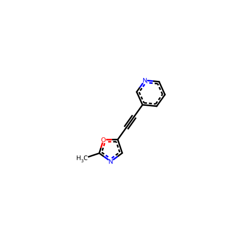 Cc1ncc(C#Cc2cccnc2)o1